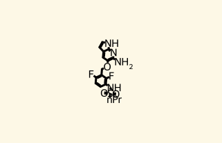 CCCS(=O)(=O)Nc1ccc(F)c(COc2cc3cc[nH]c3nc2N)c1F